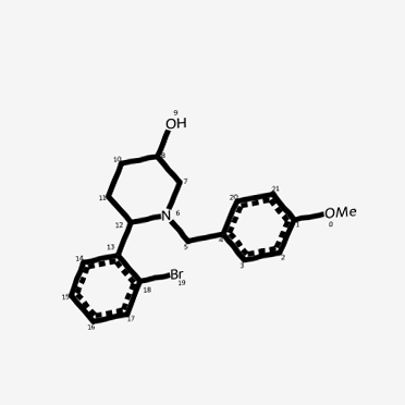 COc1ccc(CN2CC(O)CCC2c2ccccc2Br)cc1